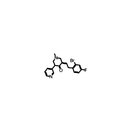 CN1CC(=CCc2ccc(F)cc2Br)C(=O)C(c2cccnc2)C1